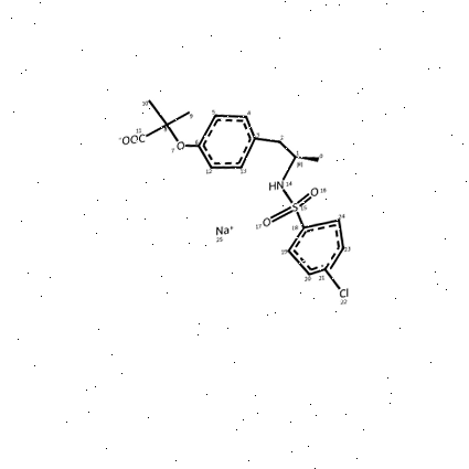 C[C@H](Cc1ccc(OC(C)(C)C(=O)[O-])cc1)NS(=O)(=O)c1ccc(Cl)cc1.[Na+]